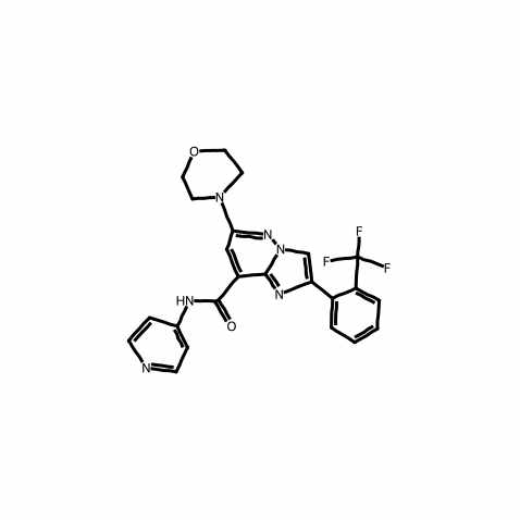 O=C(Nc1ccncc1)c1cc(N2CCOCC2)nn2cc(-c3ccccc3C(F)(F)F)nc12